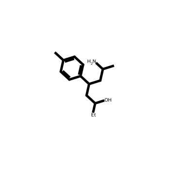 CCC(O)CC(CC(C)N)c1ccc(C)cc1